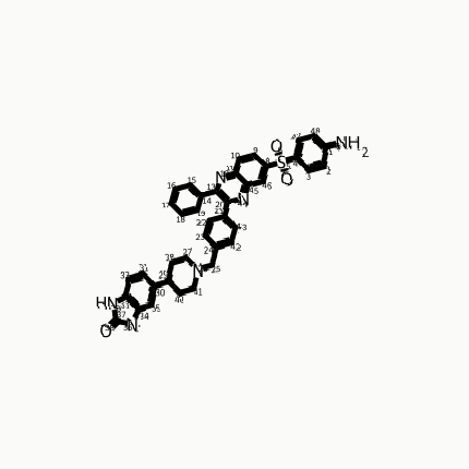 Nc1ccc(S(=O)(=O)c2ccc3nc(-c4ccccc4)c(-c4ccc(CN5CCC(c6ccc7c(c6)[N]C(=O)N7)CC5)cc4)nc3c2)cc1